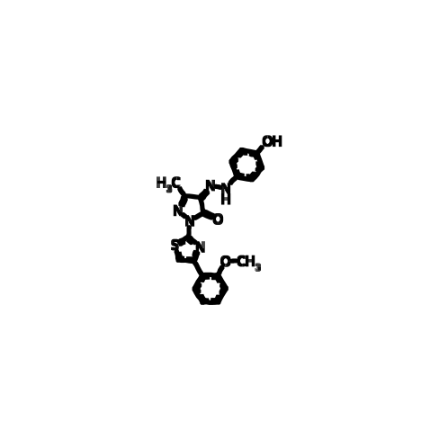 COc1ccccc1-c1csc(N2N=C(C)C(=NNc3ccc(O)cc3)C2=O)n1